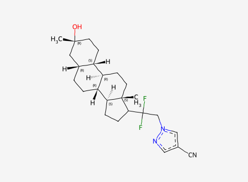 C[C@@]1(O)CC[C@H]2[C@H](CC[C@@H]3[C@@H]2CC[C@]2(C)C(C(F)(F)Cn4cc(C#N)cn4)CC[C@@H]32)C1